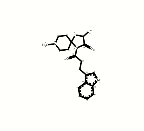 CCC1SC2(CCN(C)CC2)N(C(=O)CCc2c[nH]c3ccccc23)C1=O